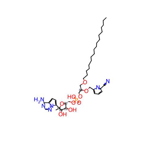 CCCCCCCCCCCCCCCCCCOC[C@H](COP(=O)(O)OC[C@H]1O[C@@](C)(c2ccc3c(N)ncnn23)[C@H](O)[C@@H]1O)OCc1cccc(C#N)n1